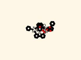 O=C1c2cccc(-n3c4c(-c5nc(-c6ccccc6)nc(-c6ccccc6)n5)cccc4c4cccc(-c5nc(-c6ccccc6)nc(-c6ccccc6)n5)c43)c2C(=O)N1c1cccc(-c2ccccc2)c1